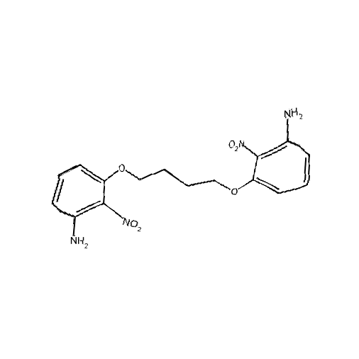 Nc1cccc(OCCCCOc2cccc(N)c2[N+](=O)[O-])c1[N+](=O)[O-]